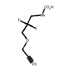 C#CCOCC(F)(F)CNC(=O)O